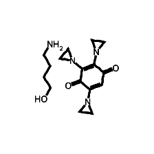 NCCCCO.O=C1C=C(N2CC2)C(=O)C(N2CC2)=C1N1CC1